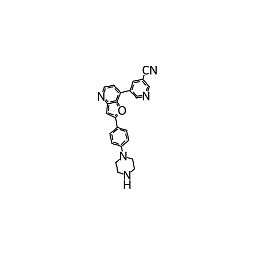 N#Cc1cncc(-c2ccnc3cc(-c4ccc(N5CCNCC5)cc4)oc23)c1